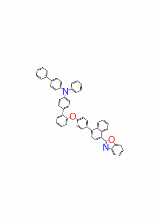 c1ccc(-c2ccc(N(c3ccccc3)c3ccc(-c4ccccc4Oc4ccc(-c5ccc(-c6nc7ccccc7o6)c6ccccc56)cc4)cc3)cc2)cc1